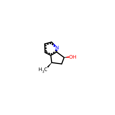 C[C@@H]1C[C@H](O)c2ncccc21